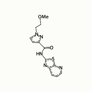 COCCn1ccc(C(=O)Nc2nc3cccnc3s2)n1